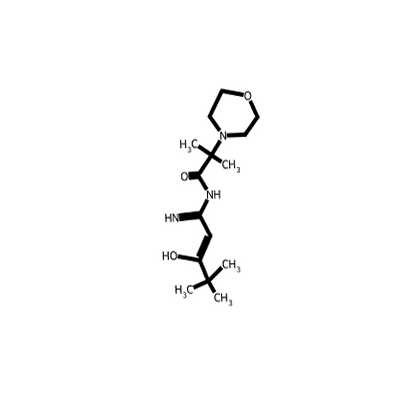 CC(C)(C)/C(O)=C/C(=N)NC(=O)C(C)(C)N1CCOCC1